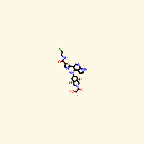 C[C@H](O)C(=O)N1C[C@H]2CC(Nc3c(-c4ncc(C(=O)NCCF)s4)cnc4[nH]ccc34)C[C@H]2C1